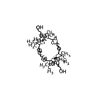 CC1(C(=O)OCCO)CC(C(C)(C)C)C2OCC3(CO2)COC(OC3)C(C(C)(C)C)CC(C)(C(=O)OCCO)CC(C(C)(C)C)C2OCC3(COC(OC3)C(C(C)(C)C)C1)CO2